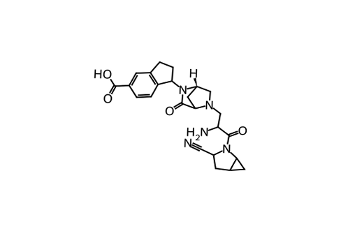 N#CC1CC2CC2N1C(=O)C(N)CN1C[C@@H]2CC1C(=O)N2C1CCc2cc(C(=O)O)ccc21